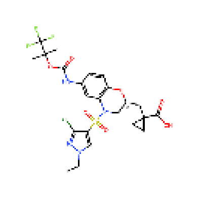 CCn1cc(S(=O)(=O)N2C[C@@H](CC3(C(=O)O)CC3)Oc3ccc(NC(=O)OC(C)(C)C(F)(F)F)cc32)c(Cl)n1